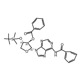 CC(C)(C)[Si](C)(C)O[C@H]1CO[C@@H](n2cnc3c(NC(=O)c4ccccc4)ncnc32)[C@@H]1OC(=O)c1ccccc1